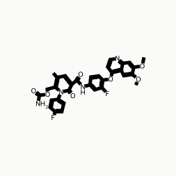 COc1cc2nccc(Oc3ccc(NC(=O)c4cc(C)c(COC(N)=O)n(-c5ccc(F)cc5)c4=O)cc3F)c2cc1OC